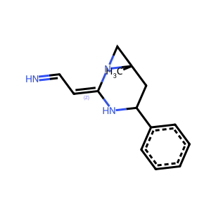 CC12CC(c3ccccc3)N/C(=C/C=N)N1C2